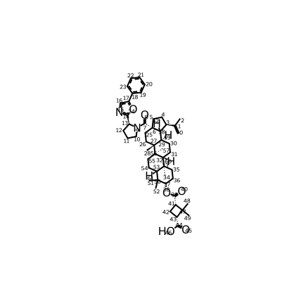 C=C(C)[C@@H]1CC[C@]2(C(=O)N3CCC[C@H]3c3ncc(-c4ccccc4)o3)CC[C@]3(C)[C@H](CC[C@@H]4[C@@]5(C)CC[C@H](OC(=O)[C@H]6C[C@@H](C(=O)O)C6(C)C)C(C)(C)[C@@H]5CC[C@]43C)[C@@H]12